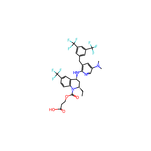 CC[C@@H]1C[C@H](Nc2ncc(N(C)C)cc2Cc2cc(C(F)(F)F)cc(C(F)(F)F)c2)c2cc(C(F)(F)F)ccc2N1C(=O)OCCC(=O)O